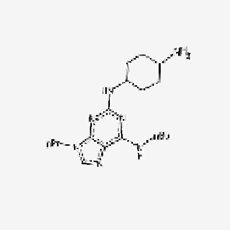 CCCCNc1nc(NC2CCC(N)CC2)nc2c1ncn2CCC